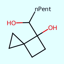 CCCCCC(O)C1(O)CCC12CC2